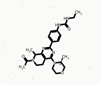 CCNC(=O)Nc1ccc(-c2nc3c(c(N4CCOC[C@@H]4C)n2)CCN(C(C)=O)C3C)cc1